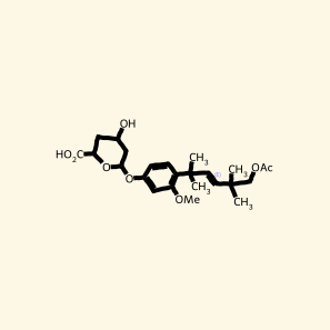 COc1cc(OC2CC(O)CC(C(=O)O)O2)ccc1C(C)(C)/C=C/C(C)(C)COC(C)=O